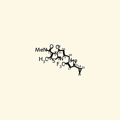 CNC(=O)c1c(C)sc2nc(Cn3nc(C4CC4)cc3C(F)(F)F)cc(=O)n12